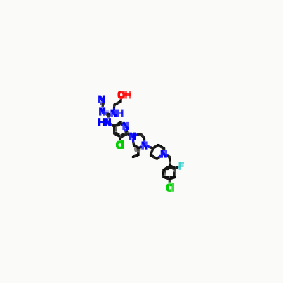 CC[C@H]1CN(c2ncc(N/C(=N/C#N)NCCO)cc2Cl)CCN1C1CCN(Cc2ccc(Cl)cc2F)CC1